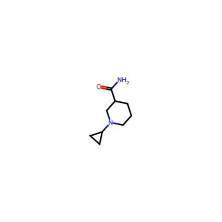 NC(=O)C1CCCN(C2CC2)C1